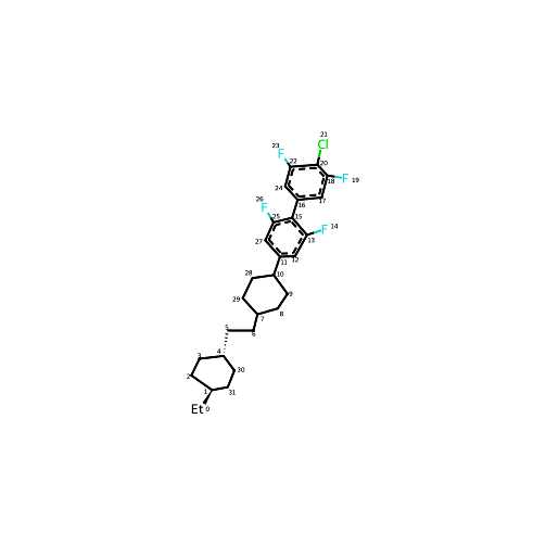 CC[C@H]1CC[C@H](CCC2CCC(c3cc(F)c(-c4cc(F)c(Cl)c(F)c4)c(F)c3)CC2)CC1